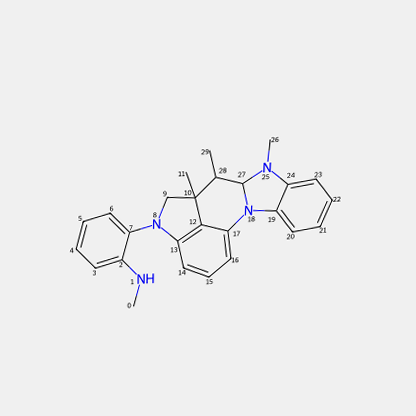 CNc1ccccc1N1CC2(C)c3c1cccc3N1c3ccccc3N(C)C1C2C